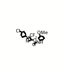 COc1cccc(NC(=O)Oc2cnn(-c3ccc(Cl)cc3)c2C(F)(F)F)c1